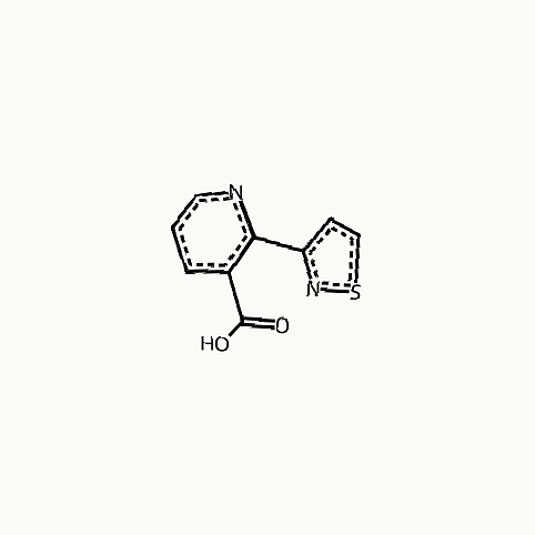 O=C(O)c1cccnc1-c1ccsn1